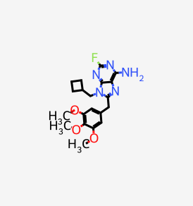 COc1cc(Cc2nc3c(N)nc(F)nc3n2CC2CCC2)cc(OC)c1OC